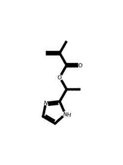 C=C(C)C(=O)OC(C)c1ncc[nH]1